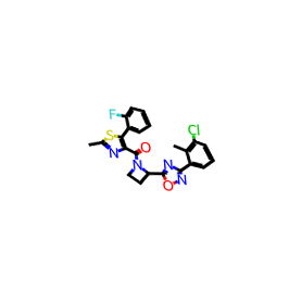 Cc1nc(C(=O)N2CCC2c2nc(-c3cccc(Cl)c3C)no2)c(-c2ccccc2F)s1